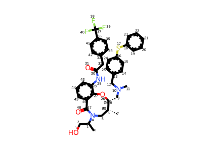 CC(CO)N1C[C@@H](C)[C@@H](CN(C)Cc2ccc(Sc3ccccc3)cc2)Oc2c(NC(=O)Cc3ccc(C(F)(F)F)cc3)cccc2C1=O